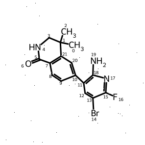 CC1(C)CNC(=O)c2ccc(-c3cc(Br)c(F)nc3N)cc21